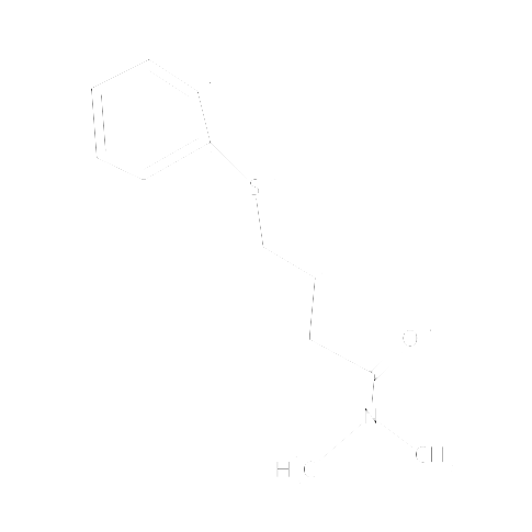 CN(C)C(=O)CCCSc1ccccc1